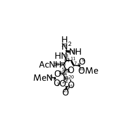 CNC(=O)O[C@@H]([C@@H]1OC(C(=O)OC)=C[C@H](NC(=N)N)[C@H]1NC(C)=O)[C@@H]1COC(=O)O1